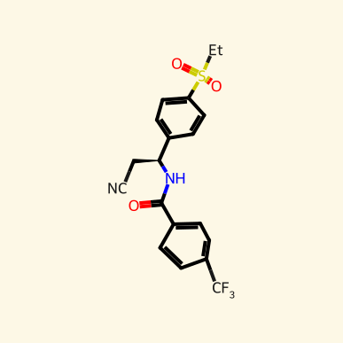 CCS(=O)(=O)c1ccc([C@H](CC#N)NC(=O)c2ccc(C(F)(F)F)cc2)cc1